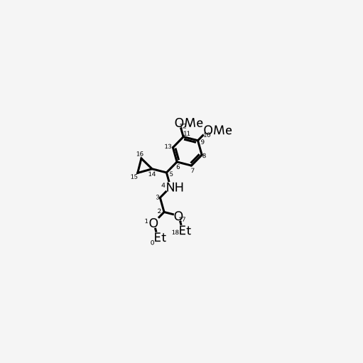 CCOC(CNC(c1ccc(OC)c(OC)c1)C1CC1)OCC